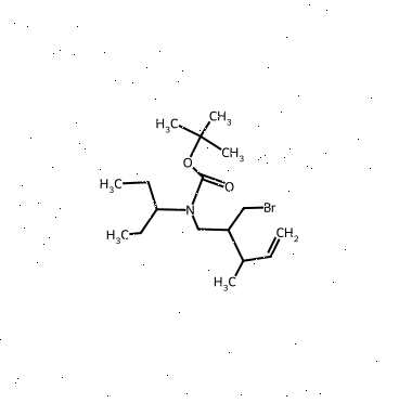 C=CC(C)C(CBr)CN(C(=O)OC(C)(C)C)C(CC)CC